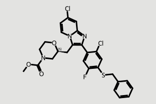 COC(=O)N1CCO[C@@H](Cc2c(-c3cc(F)c(SCc4ccccc4)cc3Cl)nc3cc(Cl)ccn23)C1